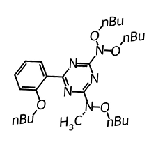 CCCCOc1ccccc1-c1nc(N(C)OCCCC)nc(N(OCCCC)OCCCC)n1